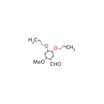 C=CCOc1cc(C=O)c(OC)cc1OCC=C